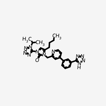 CCCCc1cn(-c2nnnn2C(C)C)c(=O)n1Cc1cc(-c2cccc(-c3nnn[nH]3)c2)ccn1